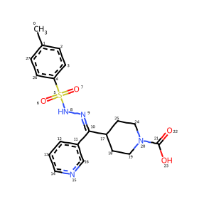 Cc1ccc(S(=O)(=O)N/N=C(\c2cccnc2)C2CCN(C(=O)O)CC2)cc1